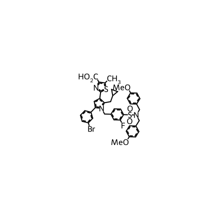 COc1ccc(CN(Cc2ccc(OC)cc2)S(=O)(=O)c2ccc(Cn3c(-c4cccc(Br)c4)cc(-c4nc(C(=O)O)c(C)s4)c3CC3CC3)cc2F)cc1